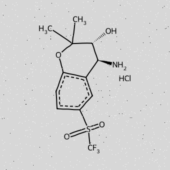 CC1(C)Oc2ccc(S(=O)(=O)C(F)(F)F)cc2[C@H](N)[C@H]1O.Cl